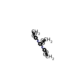 C=CC(=O)Oc1ccc(/C=C/c2ccc(/C=C/c3ccc(OC(=O)C=C)cc3)c(OC(=O)C=C)c2)cc1